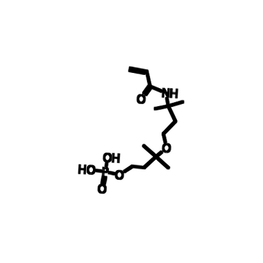 C=CC(=O)NC(C)(C)CCOC(C)(C)CCOP(=O)(O)O